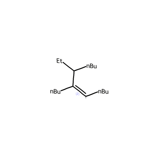 CCCC/[C]=C(/CCCC)C(CC)CCCC